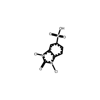 O=c1n(Cl)c2ccc(S(=O)(=O)O)cc2n1Cl